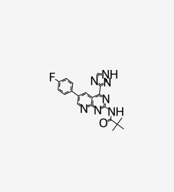 CC(C)(C)C(=O)Nc1nc(-c2nc[nH]n2)c2cc(-c3ccc(F)cc3)cnc2n1